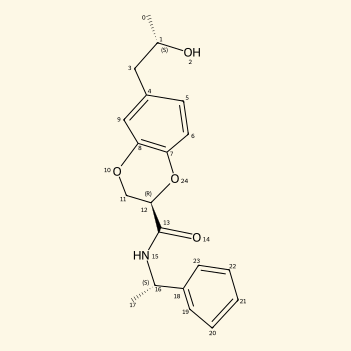 C[C@H](O)Cc1ccc2c(c1)OC[C@H](C(=O)N[C@@H](C)c1ccccc1)O2